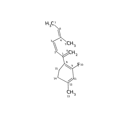 C=C(/C=C\C(C)=C/C)C1=C(F)C=C(C)CC1